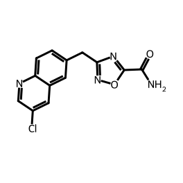 NC(=O)c1nc(Cc2ccc3ncc(Cl)cc3c2)no1